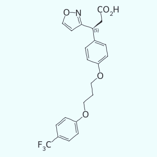 O=C(O)C[C@@H](c1ccc(OCCCOc2ccc(C(F)(F)F)cc2)cc1)c1ccon1